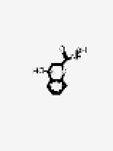 O=C(NO)C1C[C@@H](O)c2ccccc2O1